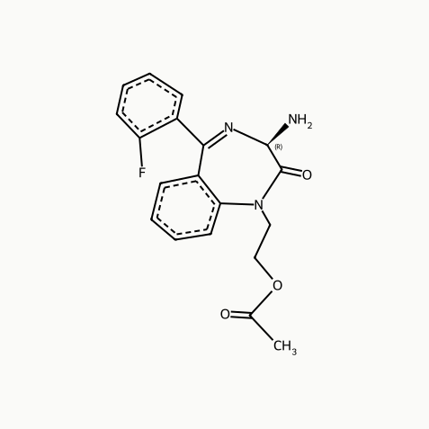 CC(=O)OCCN1C(=O)[C@H](N)N=C(c2ccccc2F)c2ccccc21